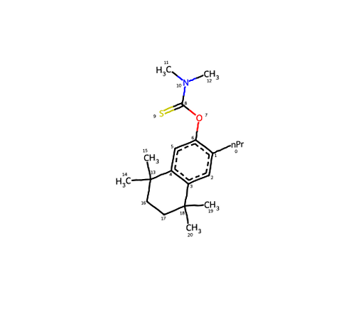 CCCc1cc2c(cc1OC(=S)N(C)C)C(C)(C)CCC2(C)C